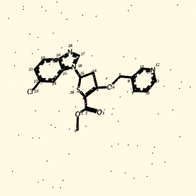 COC(=O)C1=C(OCc2cccnc2)CC(n2cnc3ccc(Cl)cc32)S1